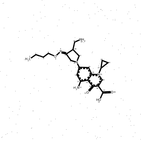 CCCCO/N=C1\CN(c2cc(N)c3c(=O)c(C(=O)O)cn(C4CC4)c3c2)CC1CN